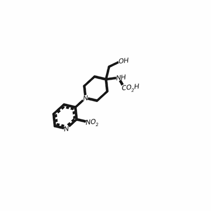 O=C(O)NC1(CO)CCN(c2cccnc2[N+](=O)[O-])CC1